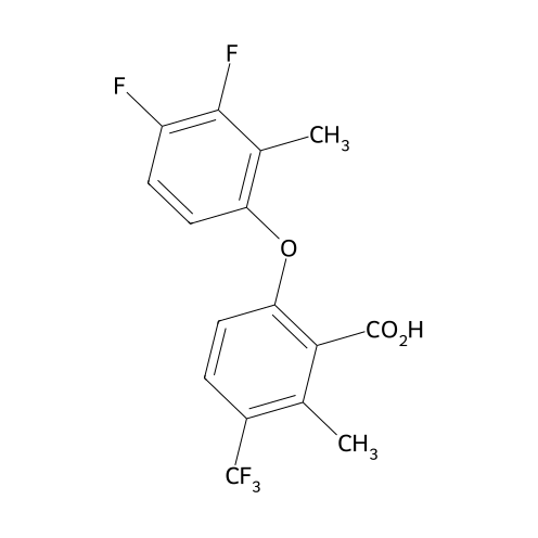 Cc1c(Oc2ccc(C(F)(F)F)c(C)c2C(=O)O)ccc(F)c1F